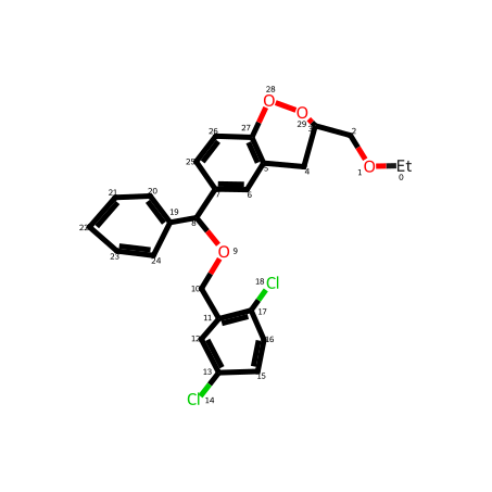 CCOCC1Cc2cc(C(OCc3cc(Cl)ccc3Cl)c3ccccc3)ccc2OO1